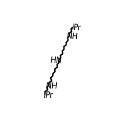 CC(C)CCCNCCCCCCCCCCNCCCCCCCCCCNCCCC(C)C